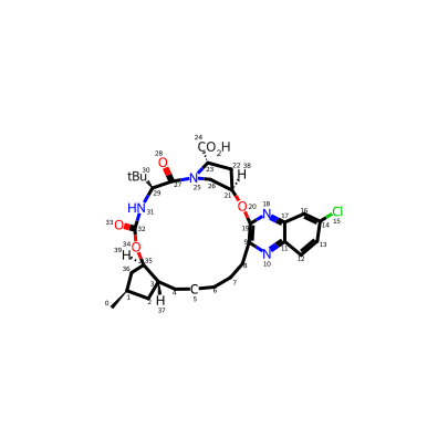 C[C@@H]1C[C@H]2CCCCCc3nc4ccc(Cl)cc4nc3O[C@@H]3C[C@@H](C(=O)O)N(C3)C(=O)[C@H](C(C)(C)C)NC(=O)O[C@@H]2C1